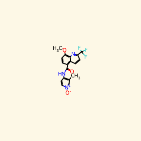 COc1ccc(C(=O)Nc2cc[n+]([O-])cc2C)c2ccc(C(F)(F)F)nc12